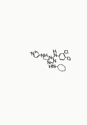 COc1ccc(Nc2nc(CNc3cc[n+](C)cc3)nc(NC3CCCCCC3)n2)cc1Cl